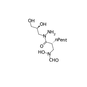 CCCCC[C@H](CN(O)C=O)C(=O)N(N)C[C@H](O)CO